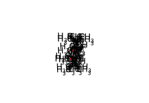 CC(C)(C)CC(C)(C)c1cc(-c2cc(F)ccc2OCCCCOc2ccc(F)cc2-c2cc(C(C)(C)CC(C)(C)C)cc(-n3c4ccc(C(C)(C)C)cc4c4cc(C(C)(C)C)ccc43)c2O)c(O)c(-n2c3ccc(C(C)(C)C)cc3c3cc(C(C)(C)C)ccc32)c1